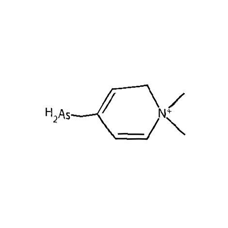 C[N+]1(C)C=CC([AsH2])=CC1